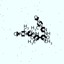 C[C@H]1CN(C2COC2)CCN1c1ccc(Nc2cc(-c3cc(Nc4ccc(N5CCN(C6COC6)C[C@@H]5C)cn4)c(=O)n(C)c3)cn(C)c2=O)nc1